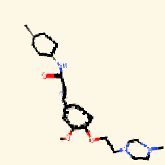 COc1cc(/C=C/C(=O)N[C@H]2CC[C@H](C)CC2)ccc1OCCN1CCN(C)CC1